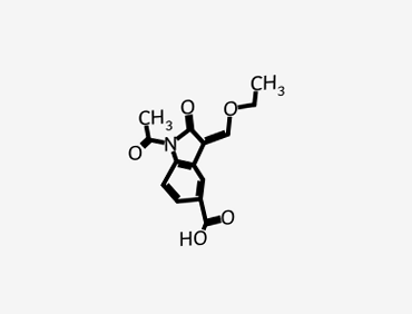 CCOC=C1C(=O)N(C(C)=O)c2ccc(C(=O)O)cc21